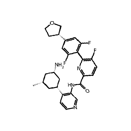 C[C@@H]1C[C@H](N)C[C@H](c2ccncc2NC(=O)c2ccc(F)c(-c3c(F)cc([C@@H]4CCOC4)cc3F)n2)C1